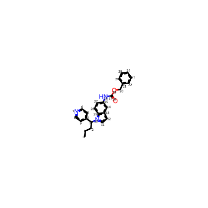 CCCC(c1ccncc1)n1ccc2cc(NC(=O)OCc3ccccc3)ccc21